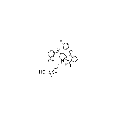 Cc1c(F)cccc1[C@H]1[C@@H](C(=O)c2cccc(O)c2)CN(CCCCNC(C)(C)CO)C[C@H]1C(=O)N1CCC[C@H]1C(F)(F)F